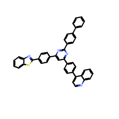 c1ccc(-c2ccc(-c3nc(-c4ccc(-c5nc6ccccc6s5)cc4)cc(-c4ccc(-c5ccnc6ccccc56)cc4)n3)cc2)cc1